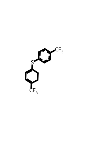 FC(F)(F)C1=CC=C(Sc2ccc(C(F)(F)F)cc2)CC1